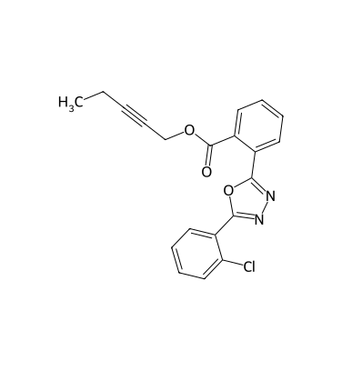 CCC#CCOC(=O)c1ccccc1-c1nnc(-c2ccccc2Cl)o1